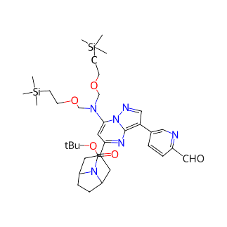 CC(C)(C)OC(=O)N1C2CCC1CC(c1cc(N(COCC[Si](C)(C)C)COCC[Si](C)(C)C)n3ncc(-c4ccc(C=O)nc4)c3n1)C2